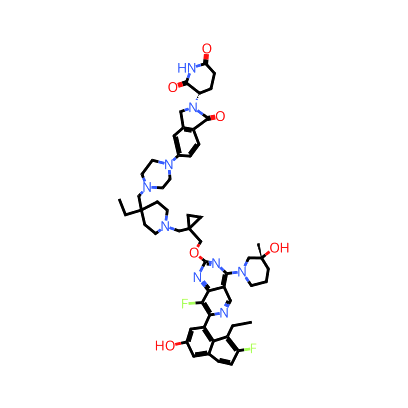 CCc1c(F)ccc2cc(O)cc(-c3ncc4c(N5CCC[C@@](C)(O)C5)nc(OCC5(CN6CCC(CC)(CN7CCN(c8ccc9c(c8)CN([C@H]8CCC(=O)NC8=O)C9=O)CC7)CC6)CC5)nc4c3F)c12